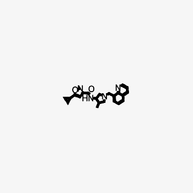 CC1CN(Cc2cccc3cccnc23)CC1NC(=O)c1cc(C2CC2)on1